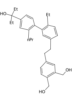 CCCc1cc(C(O)(CC)CC)ccc1-c1cc(CCc2ccc(CO)c(CO)c2)ccc1CC